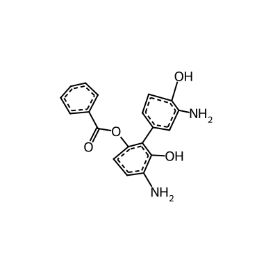 Nc1cc(-c2c(OC(=O)c3ccccc3)ccc(N)c2O)ccc1O